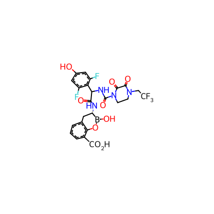 O=C(O)c1cccc2c1OB(O)[C@@H](NC(=O)C(NC(=O)N1CCN(CC(F)(F)F)C(=O)C1=O)c1c(F)cc(O)cc1F)C2